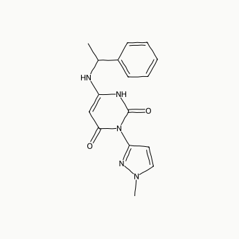 CC(Nc1cc(=O)n(-c2ccn(C)n2)c(=O)[nH]1)c1ccccc1